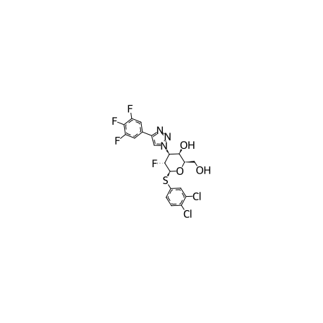 OC[C@H]1O[C@@H](Sc2ccc(Cl)c(Cl)c2)[C@H](F)[C@@H](n2cc(-c3cc(F)c(F)c(F)c3)nn2)[C@H]1O